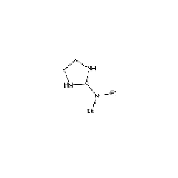 CCN(CC)[C]1NCCN1